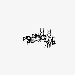 CO[C@@H]1[C@@H](n2cc(-c3ccc(F)c(F)c3F)nn2)[C@@H](O)[C@@H](CO)O[C@@H]1Cc1cn(C2(C(F)F)CCC2)nn1